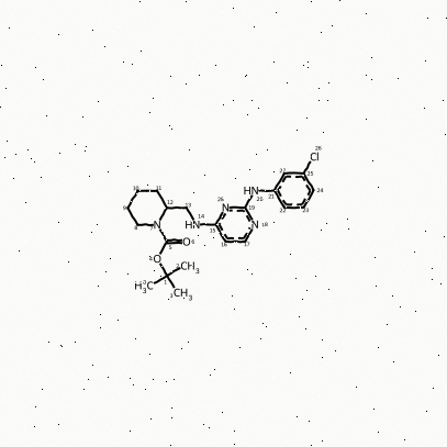 CC(C)(C)OC(=O)N1CCCCC1CNc1ccnc(Nc2cccc(Cl)c2)n1